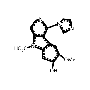 COc1cc2c3c(-n4ccnc4)nccc3n(C(=O)O)c2cc1O